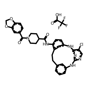 O=C(Nc1ccc2cc1CCc1cccc(c1)Nc1ncc(Cl)c(n1)N2)C1CCN(C(=O)c2ccc3c(c2)OCO3)CC1.O=C(O)C(F)(F)F